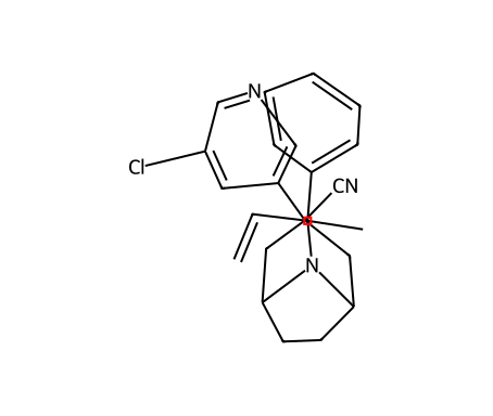 C=CC(C)(c1ccccc1)N1C2CCC1CC(C#N)(c1cncc(Cl)c1)C2